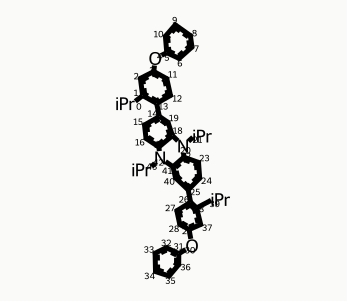 CC(C)c1cc(Oc2ccccc2)ccc1-c1ccc2c(c1)N(C(C)C)c1ccc(-c3ccc(Oc4ccccc4)cc3C(C)C)cc1N2C(C)C